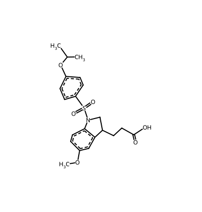 COc1ccc2c(c1)C(CCC(=O)O)CN2S(=O)(=O)c1ccc(OC(C)C)cc1